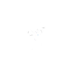 C[C@@]1(C(=O)O)CCN(c2nn(C(=O)C3=C(Cl)CCC=C3C3CC3)c3cccc(F)c23)C[C@H]1O